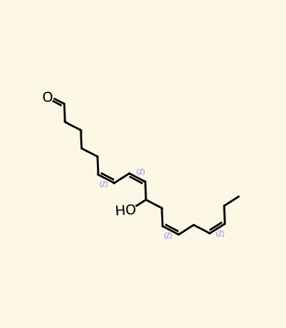 CC/C=C\C/C=C\CC(O)/C=C\C=C/CCCCC=O